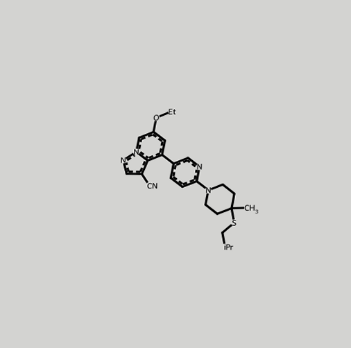 CCOc1cc(-c2ccc(N3CCC(C)(SCC(C)C)CC3)nc2)c2c(C#N)cnn2c1